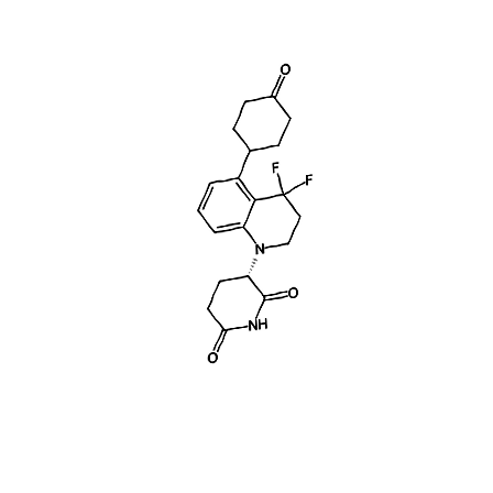 O=C1CCC(c2cccc3c2C(F)(F)CCN3[C@H]2CCC(=O)NC2=O)CC1